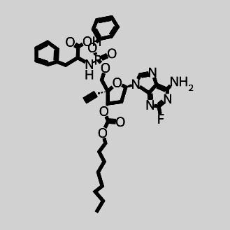 C#C[C@]1(CO[P@@](=O)(NC(Cc2ccccc2)C(=O)O)Oc2ccccc2)O[C@@H](n2cnc3c(N)nc(F)nc32)C[C@@H]1OC(=O)OCCCCCCCC